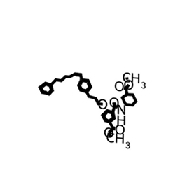 COC(=O)c1ccc(OCCCc2ccc(/C=C\CCCCc3ccccc3)cc2)c(C(=O)NC2CCCC(C(=O)OC)C2)c1